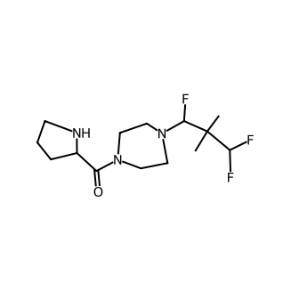 CC(C)(C(F)F)C(F)N1CCN(C(=O)C2CCCN2)CC1